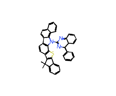 CC1(C)c2ccccc2-c2sc3c(ccc4c5ccc6ccccc6c5n(C5=NC(c6ccccc6)C6C=CC=CC6=N5)c43)c21